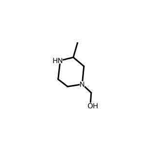 CC1CN(CO)CCN1